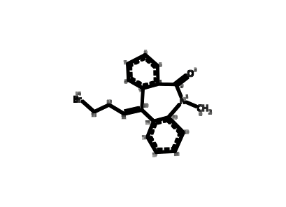 CN1C(=O)c2ccccc2/C(=C\CCBr)c2ccccc21